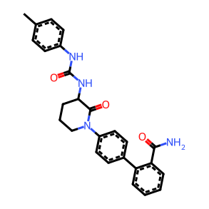 Cc1ccc(NC(=O)NC2CCCN(c3ccc(-c4ccccc4C(N)=O)cc3)C2=O)cc1